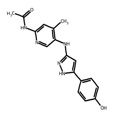 CC(=O)Nc1cc(C)c(Nc2cc(-c3ccc(O)cc3)[nH]n2)cn1